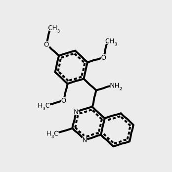 COc1cc(OC)c(C(N)c2nc(C)nc3ccccc23)c(OC)c1